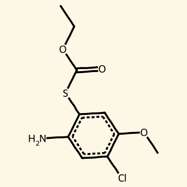 CCOC(=O)Sc1cc(OC)c(Cl)cc1N